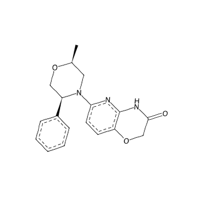 C[C@H]1CN(c2ccc3c(n2)NC(=O)CO3)[C@@H](c2ccccc2)CO1